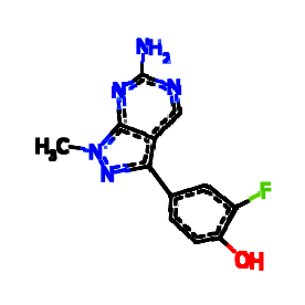 Cn1nc(-c2ccc(O)c(F)c2)c2cnc(N)nc21